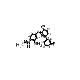 C=NNc1ccc(Cn2nc(-c3cccc(F)c3)ccc2=O)cc1N